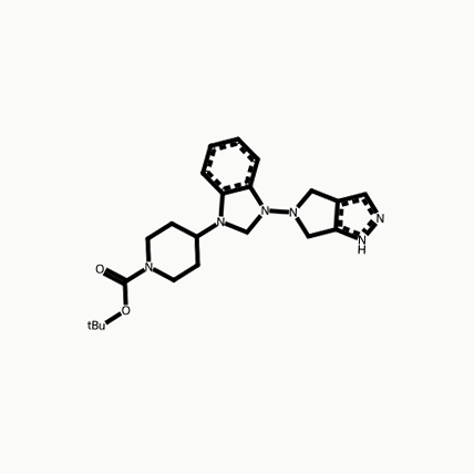 CC(C)(C)OC(=O)N1CCC(N2CN(N3Cc4cn[nH]c4C3)c3ccccc32)CC1